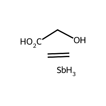 C=C.O=C(O)CO.[SbH3]